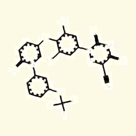 N#Cc1nn(-c2cc(Cl)c(Oc3ccc(=O)n(-c4cccc(OC(F)(F)F)c4)c3)c(Cl)c2)c(=O)[nH]c1=O